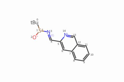 CC(C)(C)[S+]([O-])/N=C/c1cc2ccccc2cn1